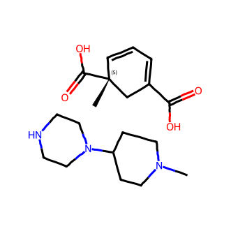 CN1CCC(N2CCNCC2)CC1.C[C@@]1(C(=O)O)C=CC=C(C(=O)O)C1